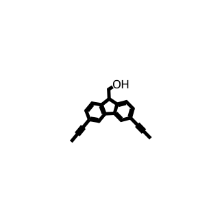 CC#Cc1ccc2c(c1)-c1cc(C#CC)ccc1C2CO